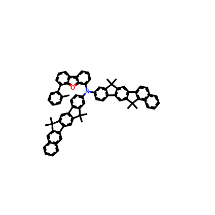 Cc1ccccc1-c1cccc2c1oc1c(N(c3ccc4c(c3)C(C)(C)c3cc5c(cc3-4)C(C)(C)c3cc4ccccc4cc3-5)c3ccc4c(c3)C(C)(C)c3cc5c(cc3-4)C(C)(C)c3c-5ccc4ccccc34)cccc12